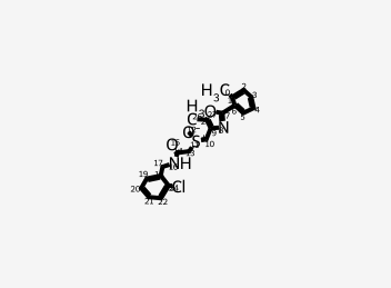 Cc1ccccc1-c1nc(C[S+]([O-])CC(=O)NCc2ccccc2Cl)c(C)o1